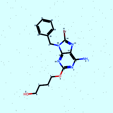 Nc1nc(OCCCCO)nc2c1nc(Br)n2Cc1ccccc1